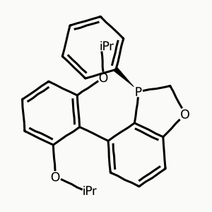 CC(C)Oc1cccc(OC(C)C)c1-c1cccc2c1[P@@](c1ccccc1)CO2